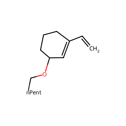 C=CC1=CC(OCCCCCC)CCC1